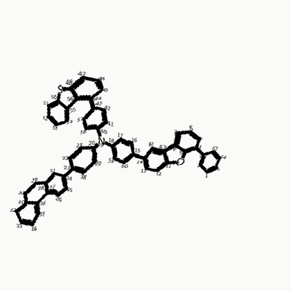 c1ccc(-c2cccc3c2oc2ccc(-c4ccc(N(c5ccc(-c6ccc7c(ccc8ccccc87)c6)cc5)c5ccc(-c6cccc7sc8ccccc8c67)cc5)cc4)cc23)cc1